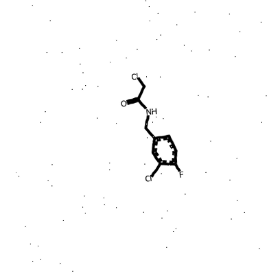 O=C(CCl)NCc1ccc(F)c(Cl)c1